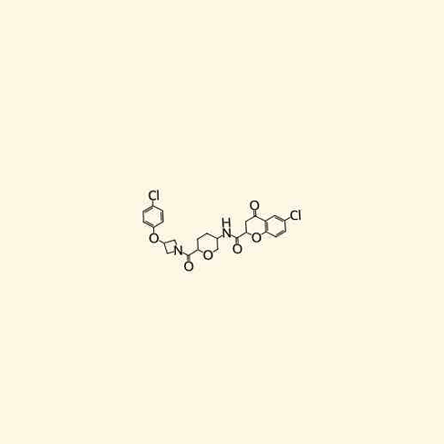 O=C1CC(C(=O)NC2CCC(C(=O)N3CC(Oc4ccc(Cl)cc4)C3)OC2)Oc2ccc(Cl)cc21